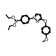 CCON(OCC)c1ccc(-n2ccc(Oc3ccc(OC)cc3)n2)cc1